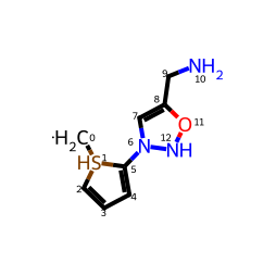 [CH2][SH]1C=CC=C1N1C=C(CN)ON1